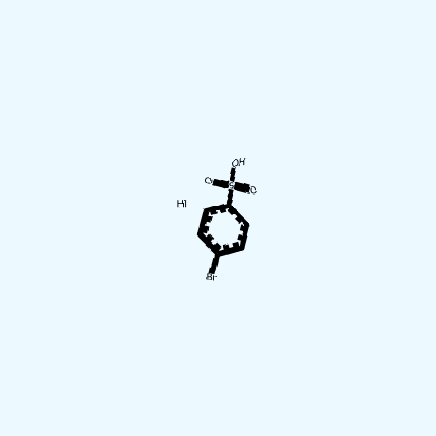 I.O=S(=O)(O)c1ccc(Br)cc1